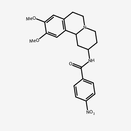 COc1cc2c(cc1OC)C1CC(NC(=O)c3ccc([N+](=O)[O-])cc3)CCN1CC2